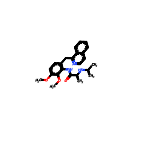 COc1ccc(Cc2nccc3ccccc23)c(NC(=O)C(C)NC(C)C)c1OC